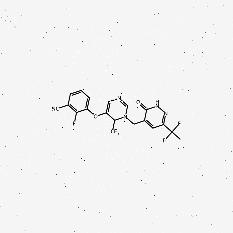 CC(F)(F)c1cc(CN2C=NC=C(Oc3cccc(C#N)c3F)C2C(F)(F)F)c(=O)[nH]n1